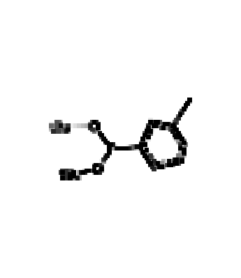 Cc1cccc(P(OC(C)(C)C)OC(C)(C)C)c1